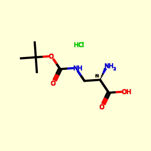 CC(C)(C)OC(=O)NC[C@H](N)C(=O)O.Cl